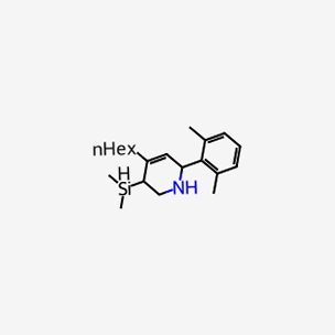 CCCCCCC1=CC(c2c(C)cccc2C)NCC1[SiH](C)C